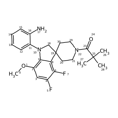 COc1cc(F)c(F)c2c1N(c1ccccc1N)CC21CCN(C(=O)C(C)(C)C)CC1